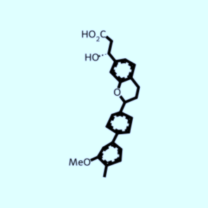 COc1cc(-c2ccc(C3CCc4ccc([C@H](O)CC(=O)O)cc4O3)cc2)ccc1C